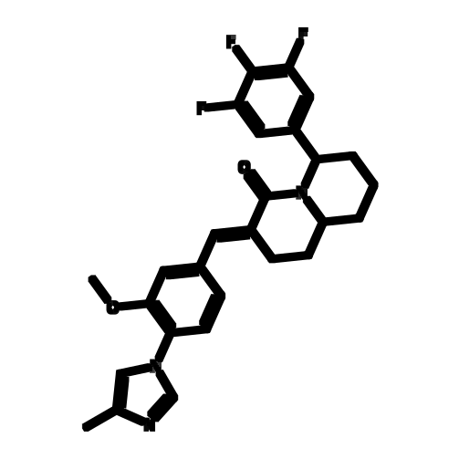 COc1cc(/C=C2\CCC3CCCC(c4cc(F)c(F)c(F)c4)N3C2=O)ccc1-n1cnc(C)c1